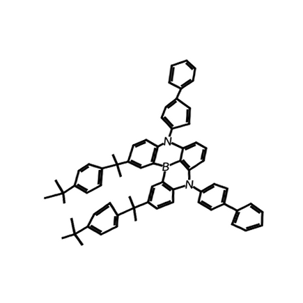 CC(C)(C)c1ccc(C(C)(C)c2ccc3c(c2)B2c4cc(C(C)(C)c5ccc(C(C)(C)C)cc5)ccc4N(c4ccc(-c5ccccc5)cc4)c4cccc(c42)N3c2ccc(-c3ccccc3)cc2)cc1